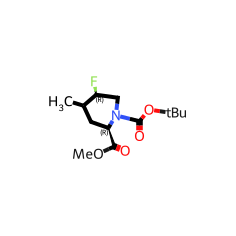 COC(=O)[C@H]1CC(C)[C@@H](F)CN1C(=O)OC(C)(C)C